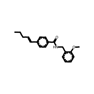 CCC/C=C/c1ccc(C(=O)NCc2ccccc2OC)cc1